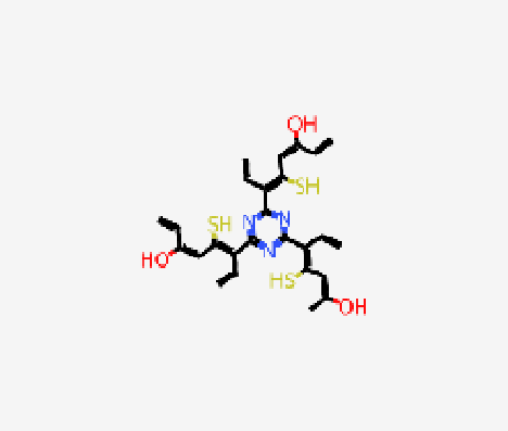 C=C/C(=C(S)\C=C(/C)O)c1nc(/C(C=C)=C(S)/C=C(/O)C=C)nc(/C(C=C)=C(S)/C=C(/O)C=C)n1